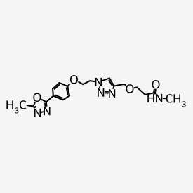 CNC(=O)CCOCc1cn(CCOc2ccc(-c3nnc(C)o3)cc2)nn1